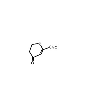 O=CC1=CC(=O)CCS1